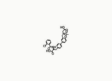 CS(=O)(=O)N(CC(=O)O)Cc1cccc(-c2ccc(C[C@H](NC(=O)c3ccccc3Cl)C(=O)O)cc2)c1